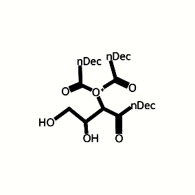 CCCCCCCCCCC(=O)C(C(O)CO)[O+](C(=O)CCCCCCCCCC)C(=O)CCCCCCCCCC